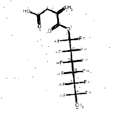 C=C(CC(=O)O)C(=O)OC(F)(F)C(F)(F)C(F)(F)C(F)(F)C(F)(F)C(C)(F)F